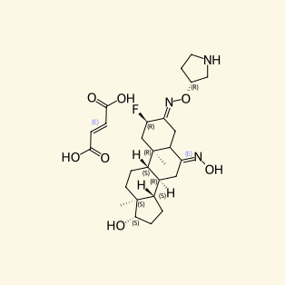 C[C@]12CC[C@H]3[C@@H](C/C(=N\O)C4CC(=NO[C@@H]5CCNC5)[C@H](F)C[C@@]43C)[C@@H]1CC[C@@H]2O.O=C(O)/C=C/C(=O)O